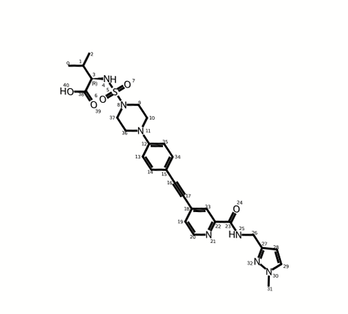 CC(C)[C@@H](NS(=O)(=O)N1CCN(c2ccc(C#Cc3ccnc(C(=O)NCc4ccn(C)n4)c3)cc2)CC1)C(=O)O